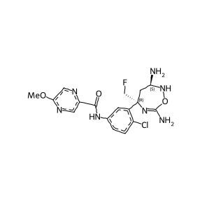 COc1cnc(C(=O)Nc2ccc(Cl)c([C@@]3(CF)C[C@@H](N)NOC(N)=N3)c2)cn1